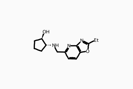 CCc1nc2nc(CN[C@@H]3CCC[C@H]3O)ccc2o1